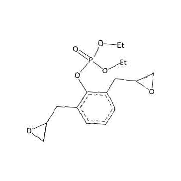 CCOP(=O)(OCC)Oc1c(CC2CO2)cccc1CC1CO1